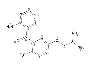 CC(C)(C)C(N)COc1ccc(C(F)(F)F)c(C(=O)c2cccnc2N)n1